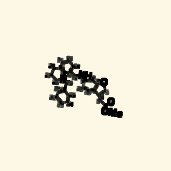 COC(=O)Cc1coc2cc(NCc3cccc4c3N(Cc3ccccc3)CCC4)ccc12